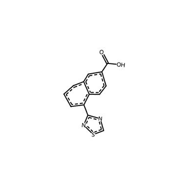 O=C(O)c1ccc2c(-c3ncsn3)cccc2c1